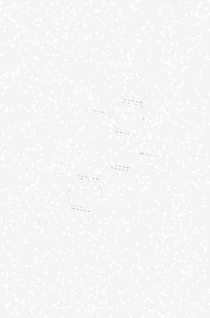 O=C(O)c1ccc(C=CC(c2cc(Cl)cc(Cl)c2)C(F)(F)F)cc1Br